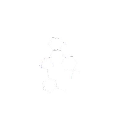 FC1(F)CCN(c2ncccc2-c2nc(-c3cccc(Cl)c3)no2)CC1